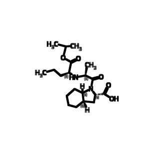 CCC[C@H](N[C@@H](C)C(=O)N1[C@H](C(=O)O)C[C@@H]2CCCC[C@@H]21)C(=O)OC(C)C